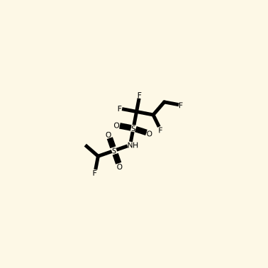 CC(F)S(=O)(=O)NS(=O)(=O)C(F)(F)C(F)CF